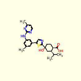 Cc1cc(Nc2nccc(C)n2)cc(-c2cnc([C@]3(O)CC[C@@H](C(=O)O)[C@@H](C(C)C)C3)s2)c1